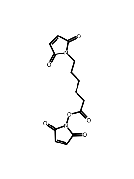 O=C(CCCCCN1C(=O)C=CC1=O)ON1C(=O)C=CC1=O